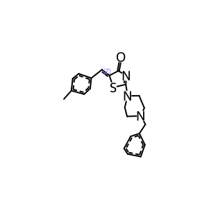 Cc1ccc(/C=C2\SC(N3CCN(Cc4ccccc4)CC3)=NC2=O)cc1